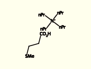 CCC[N+](CCC)(CCC)CCC.CSCCC(=O)O